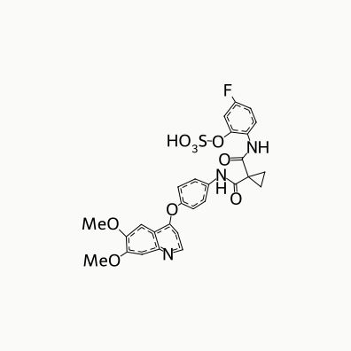 COc1cc2nccc(Oc3ccc(NC(=O)C4(C(=O)Nc5ccc(F)cc5OS(=O)(=O)O)CC4)cc3)c2cc1OC